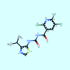 CC(C)c1ncsc1NC(=O)NC(=O)c1cc(Cl)c(Cl)nc1Cl